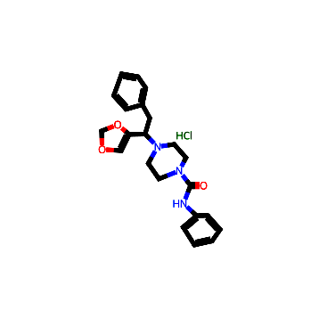 Cl.O=C(Nc1ccccc1)N1CCN(C(Cc2ccccc2)C2=COCO2)CC1